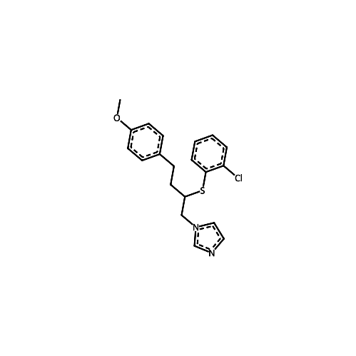 COc1ccc(CCC(Cn2ccnc2)Sc2ccccc2Cl)cc1